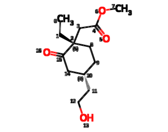 CC[C@@]1(CC(=O)OC)CC[C@H](CCO)CC1=O